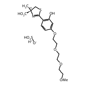 COCCOCCOCCOc1ccc(C2=N[C@@](C)(C(=O)O)CS2)c(O)c1.O=S(=O)([O-])O.[H+]